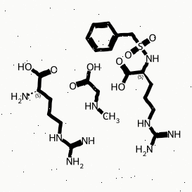 CNCC(=O)O.N=C(N)NCCC[C@H](N)C(=O)O.N=C(N)NCCC[C@H](NS(=O)(=O)Cc1ccccc1)C(=O)O